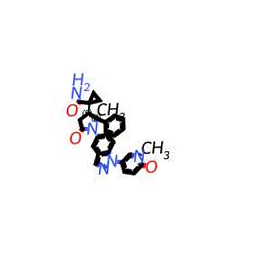 Cn1cc(-n2ncc3cc(N4C(=O)C[C@@H](C5(C(N)=O)CC5)[C@]4(C)c4ccccc4)ccc32)ccc1=O